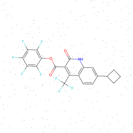 O=C(Oc1c(F)c(F)c(F)c(F)c1F)c1c(C(F)(F)F)c2ccc(C3CCC3)cc2[nH]c1=O